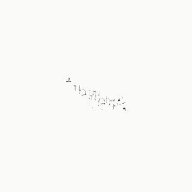 N#Cc1cc(-c2ncnc(Nc3ccc(N4CCN(C5COC5)CC4)cc3)n2)ccc1OC1CCN(C(=O)[C@@H]2CCC(=O)N2)C[C@H]1F